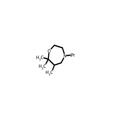 CC(C)N1CCOC(C)(C)C(C)C1